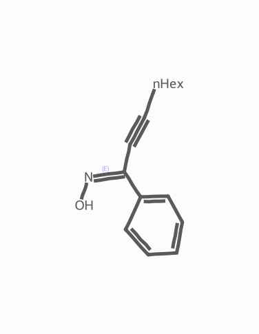 CCCCCCC#C/C(=N/O)c1ccccc1